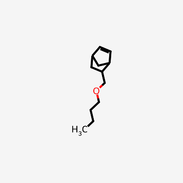 CCCCOCC1CC2C=CC1C2